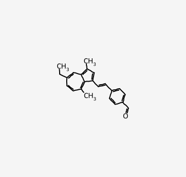 CCc1ccc(C)c2c(/C=C/c3ccc(C=O)cc3)cc(C)c-2c1